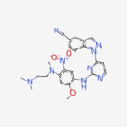 COc1cc(N(C)CCN(C)C)c([N+](=O)[O-])cc1Nc1nccc(-n2ncc3cc(C#N)ccc32)n1